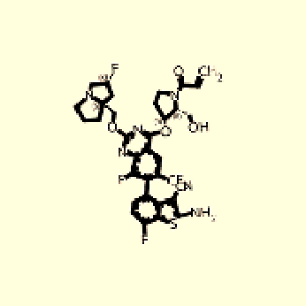 C=CC(=O)N1CC[C@@H](Oc2nc(OC[C@@]34CCCN3C[C@H](F)C4)nc3c(F)c(-c4ccc(F)c5sc(N)c(C#N)c45)c(C(F)(F)F)cc23)[C@H]1CO